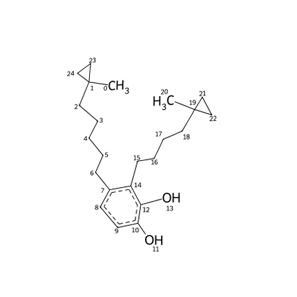 CC1(CCCCCc2ccc(O)c(O)c2CCCCC2(C)CC2)CC1